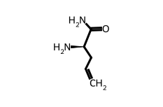 C=CC[C@@H](N)C(N)=O